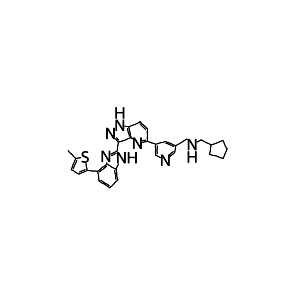 Cc1ccc(-c2cccc3[nH]c(-c4n[nH]c5ccc(-c6cncc(CNCC7CCCC7)c6)nc45)nc23)s1